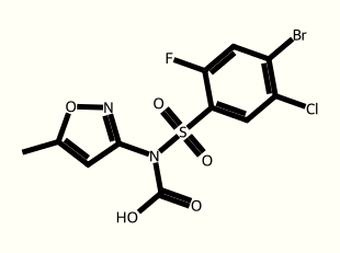 Cc1cc(N(C(=O)O)S(=O)(=O)c2cc(Cl)c(Br)cc2F)no1